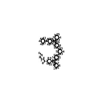 C=C/C=C\C=C(/C)c1ccc(N(c2ccccc2)c2ccc(-c3cccc(-c4ccc(N(c5ccccc5)c5ccc(-c6ccccc6)cc5)cc4)c3)cc2)cc1